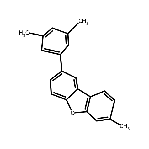 Cc1cc(C)cc(-c2ccc3oc4cc(C)ccc4c3c2)c1